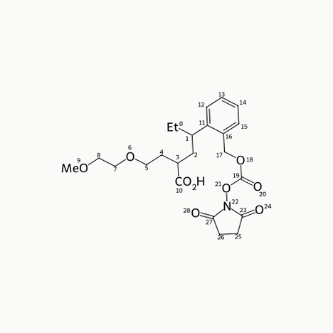 CCC(CC(CCOCCOC)C(=O)O)c1ccccc1COC(=O)ON1C(=O)CCC1=O